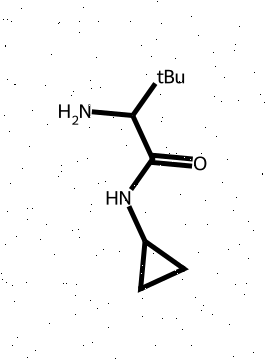 CC(C)(C)C(N)C(=O)NC1CC1